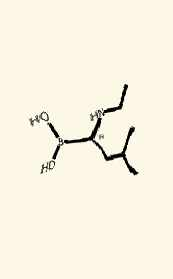 CCN[C@@H](CC(C)C)B(O)O